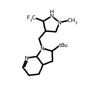 CN1CC(CN2C3N=CCCC3CC2C(C)(C)C)C(C(F)(F)F)N1